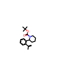 C=C(C)c1ccccc1C1CCCCN1C(=O)OC(C)(C)C